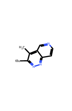 Cc1c(C(C)(C)C)nnc2ccncc12